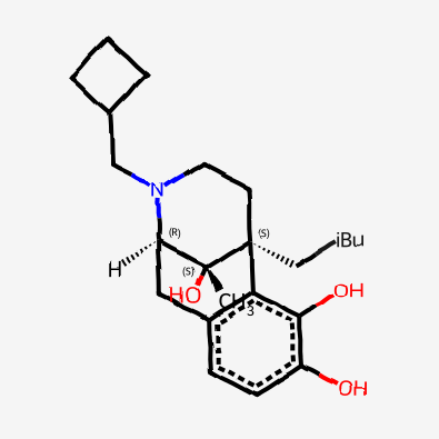 CCC(C)C[C@]12CCN(CC3CCC3)[C@H](Cc3ccc(O)c(O)c31)[C@@]2(C)O